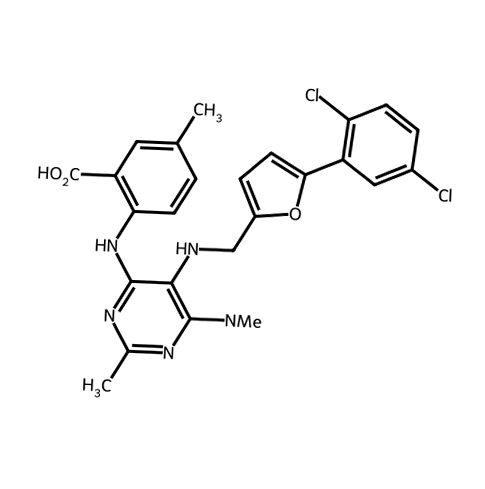 CNc1nc(C)nc(Nc2ccc(C)cc2C(=O)O)c1NCc1ccc(-c2cc(Cl)ccc2Cl)o1